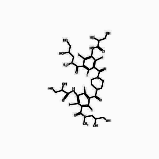 CN(CC(O)CO)C(=O)c1c(I)c(NC(=O)C(O)CO)c(I)c(C(=O)N2CCN(C(=O)c3c(I)c(NC(=O)C(O)CO)c(I)c(C(=O)N(C)CC(O)CO)c3I)CC2)c1I